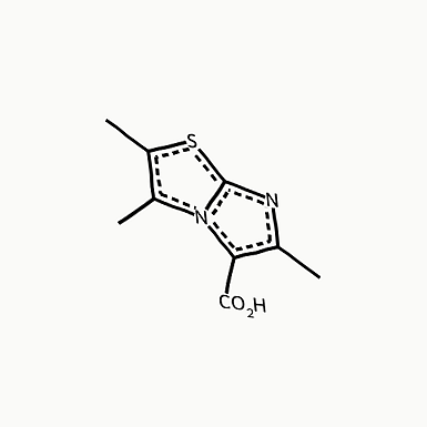 Cc1nc2sc(C)c(C)n2c1C(=O)O